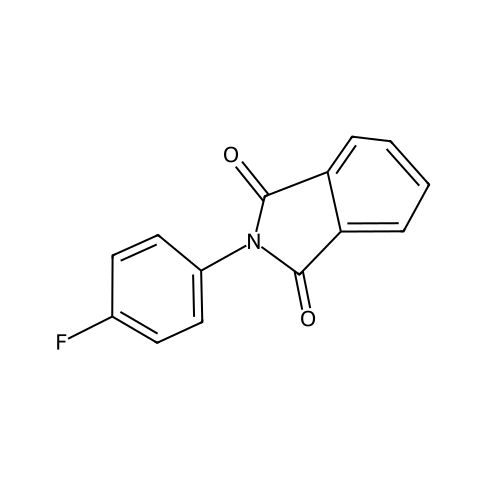 O=C1c2ccccc2C(=O)N1c1ccc(F)cc1